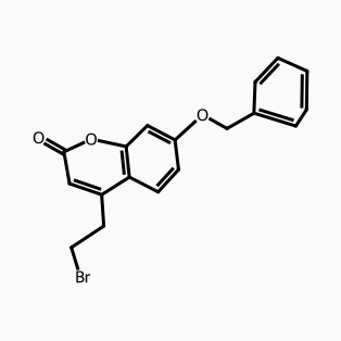 O=c1cc(CCBr)c2ccc(OCc3ccccc3)cc2o1